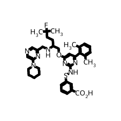 Cc1cccc(C)c1-c1cc(OCC(CCC(C)(C)F)NCc2cncc(N3CCCCC3)n2)nc(NSc2cccc(C(=O)O)c2)n1